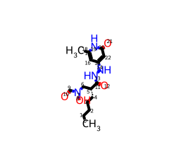 CCCCC[C@H](CN(O)C=O)C(=O)NNc1cc(C)[nH]c(=O)c1